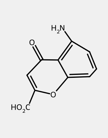 Nc1cccc2oc(C(=O)O)cc(=O)c12